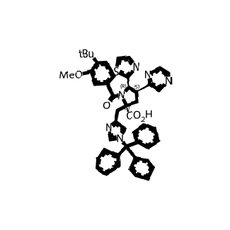 COc1cc(C(=O)N2[C@@H](c3nccs3)[C@@H](c3cnccn3)C[C@]2(Cc2cn(C(c3ccccc3)(c3ccccc3)c3ccccc3)cn2)C(=O)O)ccc1C(C)(C)C